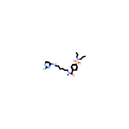 CCCN(CCC)S(=O)(=O)c1ccc(C(=O)N(C)CCCCCCNc2ccnc(Cl)n2)cc1